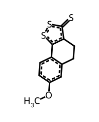 COc1ccc2c(c1)CCc1c-2ssc1=S